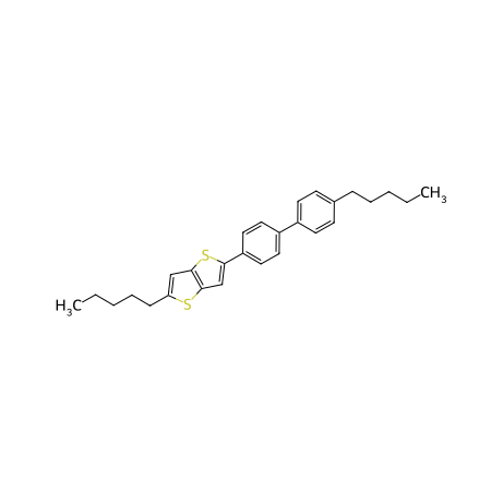 CCCCCc1ccc(-c2ccc(-c3cc4sc(CCCCC)cc4s3)cc2)cc1